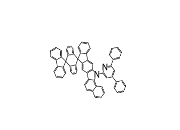 c1ccc(-c2cc(-c3ccccc3)nc(-n3c4cc5c(cc4c4ccc6ccccc6c43)C3(c4ccccc4-5)c4ccccc4C4(c5ccccc5-c5ccccc54)c4ccccc43)c2)cc1